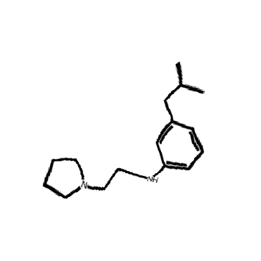 C[C](C)Cc1cccc(NCCN2CCCC2)c1